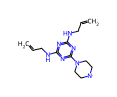 C=CCNc1nc(NCC=C)nc(N2CC[N]CC2)n1